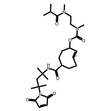 CC(C)C(=O)N(C)CCN(C)C(=O)OC1/C=C/CCC(C(=O)NC(C)(C)CC(C)(C)N2C(=O)C=CC2=O)CC1